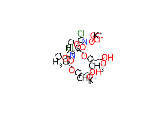 Cc1cc(OCC[C@H](C)Oc2ncc(Cl)cc2Oc2ccccc2)ccc1CCC(=O)O.Cc1cc(OCC[C@H](C)Oc2ncc(Cl)cc2Oc2ccccc2)ccc1CCC(=O)O.O=C([O-])[O-].[K+].[K+]